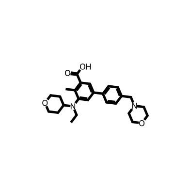 CCN(c1cc(-c2ccc(CN3CCOCC3)cc2)cc(C(=O)O)c1C)C1CCOCC1